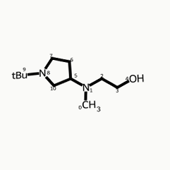 CN(CCO)C1CCN(C(C)(C)C)C1